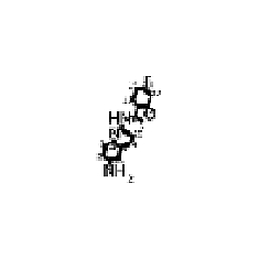 Nc1ccc2nc(NC3COc4cc(F)ccc43)ccc2c1